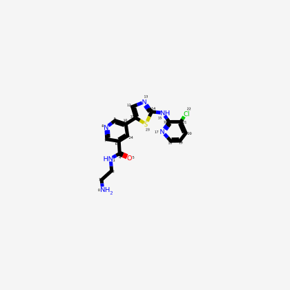 NCCNC(=O)c1cncc(-c2cnc(Nc3ncccc3Cl)s2)c1